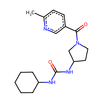 Cc1ccc(C(=O)N2CCC(NC(=O)NC3CCCCC3)C2)cn1